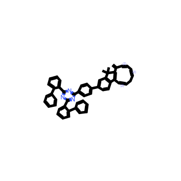 C=C1/C=C\C=C/C/C=C\C2=C1C(C)(C)c1cc(-c3ccc(-c4nc(-c5ccccc5-c5ccccc5)nc(-c5ccccc5-c5ccccc5)n4)cc3)ccc12